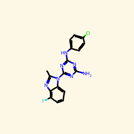 Cc1nc2c(F)cccc2n1-c1nc(N)nc(Nc2ccc(Cl)cc2)n1